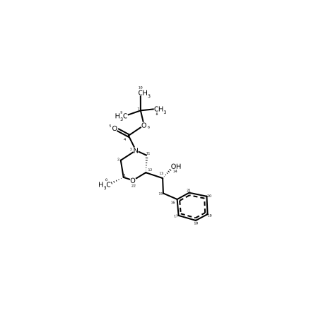 C[C@@H]1CN(C(=O)OC(C)(C)C)C[C@H]([C@H](O)Cc2ccccc2)O1